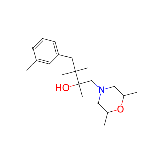 Cc1cccc(CC(C)(C)C(C)(O)CN2CC(C)OC(C)C2)c1